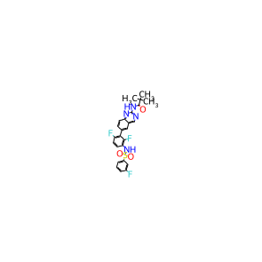 CC(C)(C)C(=O)Nc1ncc2cc(-c3c(F)ccc(NS(=O)(=O)c4cccc(F)c4)c3F)ccc2n1